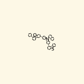 c1ccc(-c2cccc3c2oc2ccc(-c4ccc(N(c5ccc(-c6cccc7sc8ccccc8c67)cc5)c5cccc6ccccc56)cc4)cc23)cc1